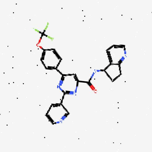 O=C(NC1CCc2ncccc21)c1cc(-c2ccc(OC(F)(F)F)cc2)nc(-c2cccnc2)n1